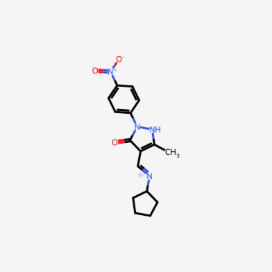 Cc1[nH]n(-c2ccc([N+](=O)[O-])cc2)c(=O)c1/C=N/C1CCCC1